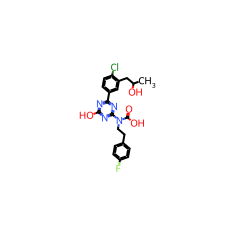 CC(O)Cc1cc(-c2nc(O)nc(N(CCc3ccc(F)cc3)C(=O)O)n2)ccc1Cl